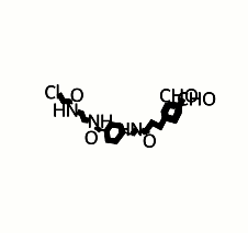 O=Cc1ccc(CCC(=O)NC[C@H]2CC[C@H](C(=O)NCCNC(=O)CCl)CC2)cc1C=O